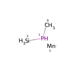 CP[SiH3].[Mn]